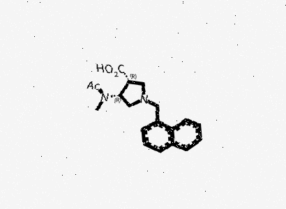 CC(=O)N(C)[C@H]1CN(Cc2cccc3ccccc23)C[C@H]1C(=O)O